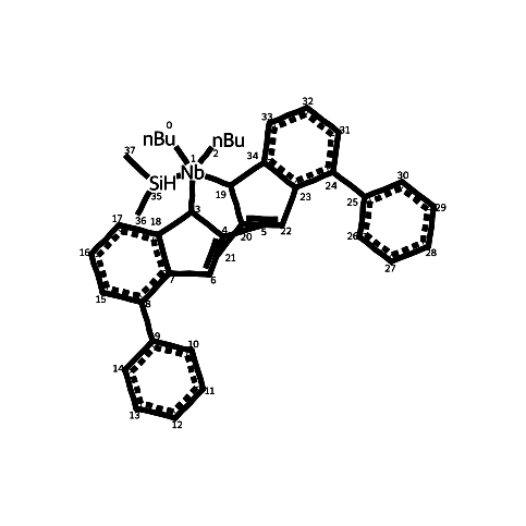 CCC[CH2][Nb]([CH2]CCC)([CH]1C(C)=Cc2c(-c3ccccc3)cccc21)([CH]1C(C)=Cc2c(-c3ccccc3)cccc21)[SiH](C)C